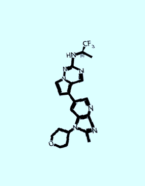 Cc1nc2ncc(-c3ccn4nc(N[C@H](C)C(F)(F)F)ncc34)cc2n1C1CCOCC1